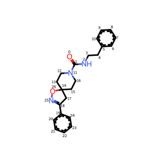 O=C(NCCc1ccccc1)N1CCC2(CC1)CC(c1ccccc1)=NO2